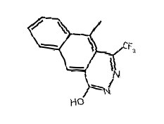 Cc1c2ccccc2cc2c(O)nnc(C(F)(F)F)c12